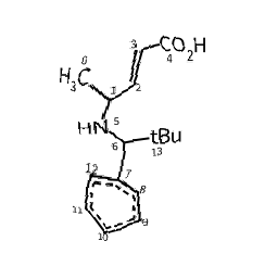 CC(C=CC(=O)O)NC(c1ccccc1)C(C)(C)C